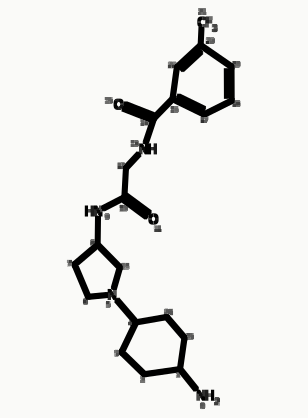 NC1CCC(N2CCC(NC(=O)CNC(=O)c3cccc(C(F)(F)F)c3)C2)CC1